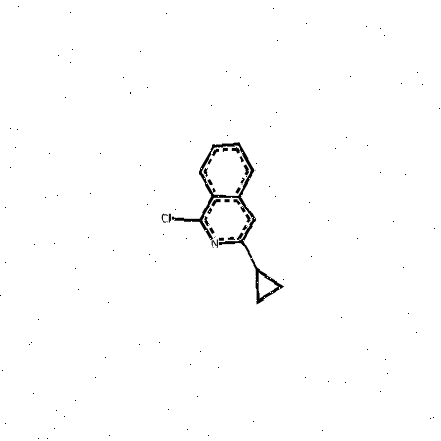 Clc1nc(C2CC2)cc2ccccc12